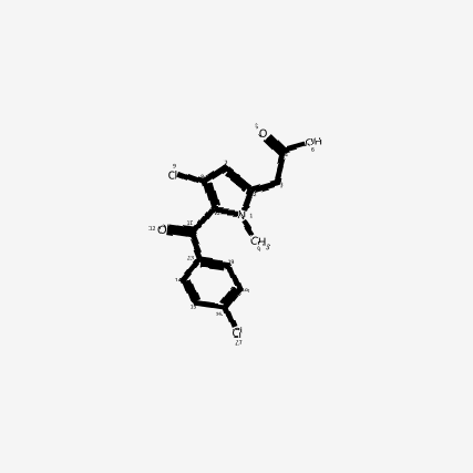 Cn1c(CC(=O)O)cc(Cl)c1C(=O)c1ccc(Cl)cc1